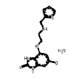 O.S=c1[nH]c2cc(Cl)cc(OCCNCc3cccs3)c2[nH]1